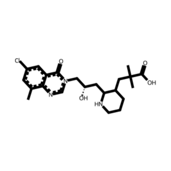 Cc1cc(Cl)cc2c(=O)n(C[C@@H](O)CC3NCCCC3CC(C)(C)C(=O)O)cnc12